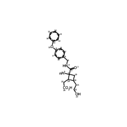 CCCC1(C(=O)NCc2ccc(Oc3ccccc3)cc2)CC(CCO)C1CC(=O)O